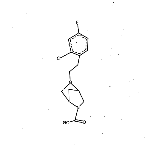 O=C(O)N1CC2CC1CN2CCc1ccc(F)cc1Cl